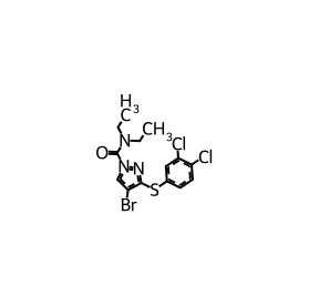 CCN(CC)C(=O)n1cc(Br)c(Sc2ccc(Cl)c(Cl)c2)n1